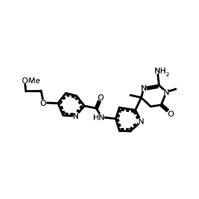 COCCOc1ccc(C(=O)Nc2ccnc(C3(C)CC(=O)N(C)C(N)=N3)c2)nc1